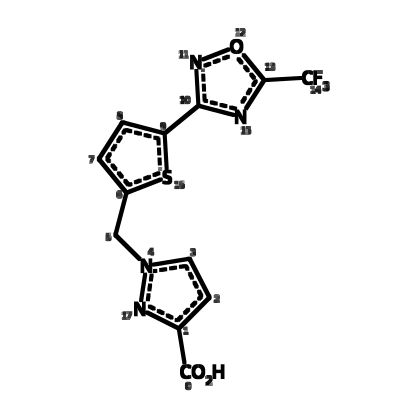 O=C(O)c1ccn(Cc2ccc(-c3noc(C(F)(F)F)n3)s2)n1